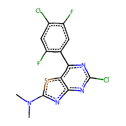 CN(C)c1nc2nc(Cl)nc(-c3cc(F)c(Cl)cc3F)c2s1